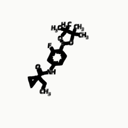 CCC1(C(=O)Nc2ccc(B3OC(C)(C)C(C)(C)O3)c(F)c2)CC1